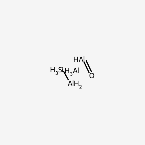 [AlH2][SiH3].[AlH3].[O]=[AlH]